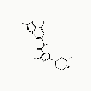 Cc1cn2cc(NC(=O)c3sc([C@H]4CCN[C@@H](C)C4)cc3F)cc(F)c2n1